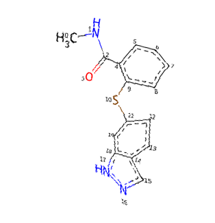 CNC(=O)c1ccccc1Sc1ccc2cn[nH]c2c1